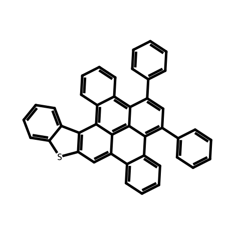 c1ccc(-c2cc(-c3ccccc3)c3c4ccccc4c4c5c(cc6c7ccccc7c2c3c64)sc2ccccc25)cc1